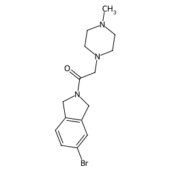 CN1CCN(CC(=O)N2Cc3ccc(Br)cc3C2)CC1